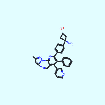 Cc1cc2ncc3c(-c4cccnc4)c(-c4ccccc4)c(-c4ccc([C@]5(N)C[C@H](O)C5)cc4)nc3n2n1